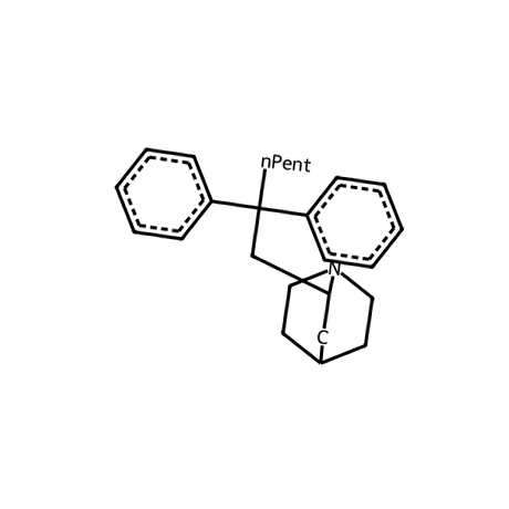 CCCCCC(CC1CC2CCN1CC2)(c1ccccc1)c1ccccc1